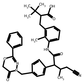 Cc1c(CC(C(=O)O)C(C)(C)C)cccc1NC(=O)C(c1ccc(CN2N=C(c3ccccc3)OCC2=O)cc1)C(C)CC#N